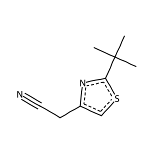 CC(C)(C)c1nc(CC#N)cs1